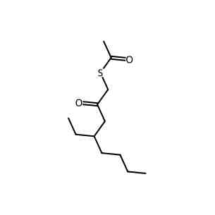 CCCCC(CC)CC(=O)CSC(C)=O